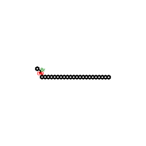 O=C(Oc1cccc2cc3cc4cc5cc6cc7cc8cc9cc%10cc%11cc%12cc%13cc%14cc%15cc%16cc%17cc%18cc%19cc%20cc%21cc%22ccccc%22cc%21cc%20cc%19cc%18cc%17cc%16cc%15cc%14cc%13cc%12cc%11cc%10cc9cc8cc7cc6cc5cc4cc3cc12)C(Br)c1ccccc1